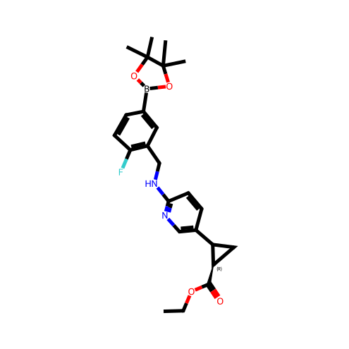 CCOC(=O)[C@@H]1CC1c1ccc(NCc2cc(B3OC(C)(C)C(C)(C)O3)ccc2F)nc1